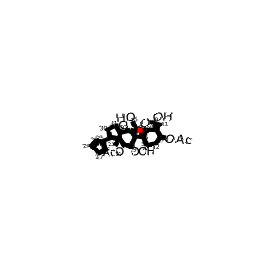 CC(=O)OC1CC(O)C23COC(O)C1(C)C2CC(O)C1C3C(=O)C(OC(C)=O)C2(C)C(C3=CCC=C3)CC3OC312